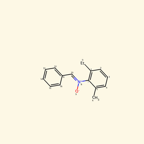 CCc1cccc(C)c1[N+]([O-])=Cc1ccccc1